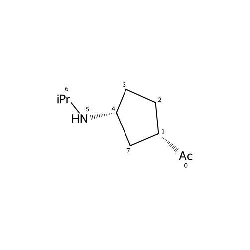 CC(=O)[C@H]1CC[C@@H](NC(C)C)C1